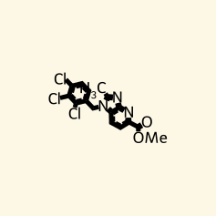 COC(=O)c1ccc2c(n1)nc(C)n2Cc1ccc(Cl)c(Cl)c1Cl